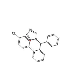 Clc1ccc(-c2ccccc2C(c2ccccc2)n2cncn2)cc1